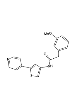 COc1cccc(CC(=O)Nc2csc(-c3ccncc3)c2)c1